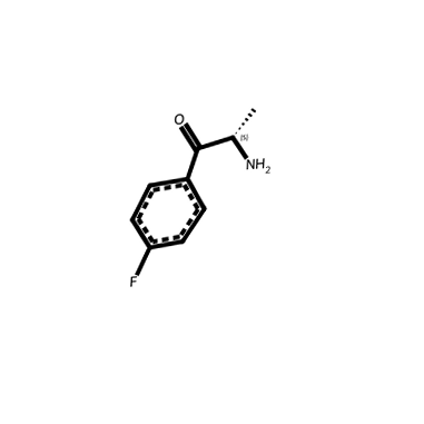 C[C@H](N)C(=O)c1ccc(F)cc1